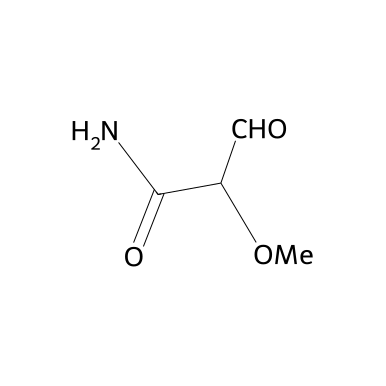 COC(C=O)C(N)=O